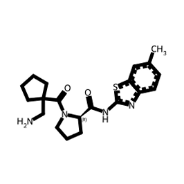 Cc1ccc2nc(NC(=O)[C@H]3CCCN3C(=O)C3(CN)CCCC3)sc2c1